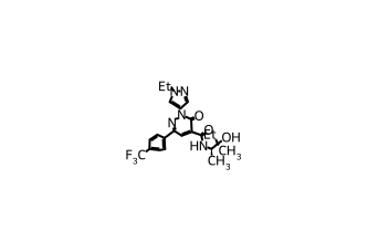 CCn1cc(-n2nc(-c3ccc(C(F)(F)F)cc3)cc(C(=O)N[C@H](C)C(C)(O)CC)c2=O)cn1